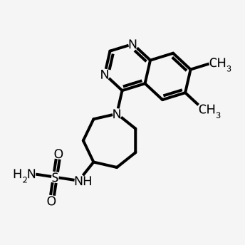 Cc1cc2ncnc(N3CCCC(NS(N)(=O)=O)CC3)c2cc1C